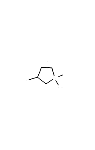 C[N+]1(C)CCC(Br)C1.[Br-]